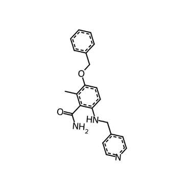 Cc1c(OCc2ccccc2)ccc(NCc2ccncc2)c1C(N)=O